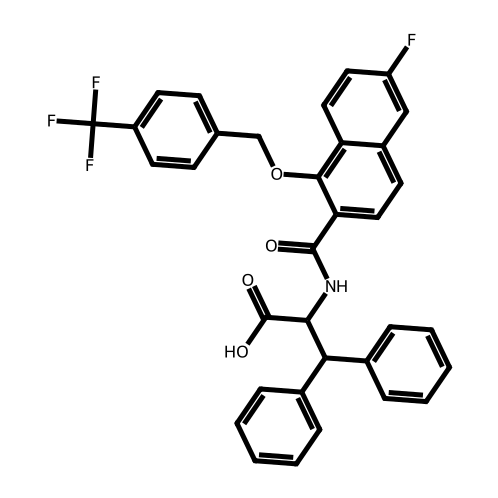 O=C(NC(C(=O)O)C(c1ccccc1)c1ccccc1)c1ccc2cc(F)ccc2c1OCc1ccc(C(F)(F)F)cc1